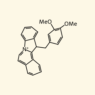 COc1ccc(CC2c3ccccc3-[n+]3ccc4ccccc4c32)cc1OC